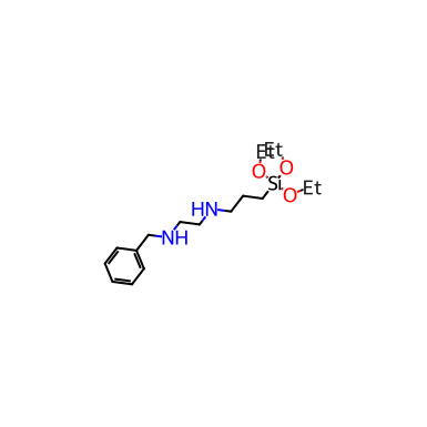 CCO[Si](CCCNCCNCc1ccccc1)(OCC)OCC